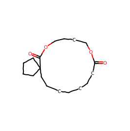 O=C1CCCCCCCC2(CCCC2)C(=O)OCCCCO1